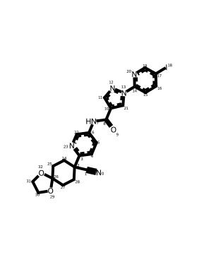 N#CC1(c2ccc(NC(=O)c3cnn(-c4ccc(I)cn4)c3)cn2)CCC2(CC1)OCCO2